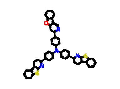 c1ccc2c(c1)oc1cc(-c3ccc(N(c4ccc(-c5ccc6c(n5)sc5ccccc56)cc4)c4ccc(-c5ccc6c(n5)sc5ccccc56)cc4)cc3)ncc12